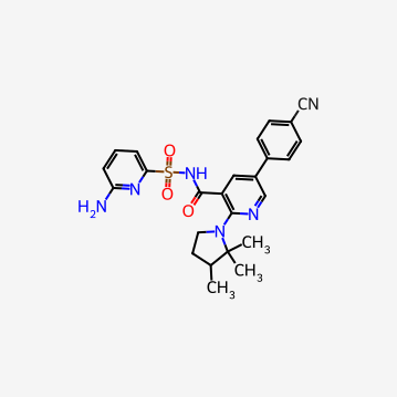 CC1CCN(c2ncc(-c3ccc(C#N)cc3)cc2C(=O)NS(=O)(=O)c2cccc(N)n2)C1(C)C